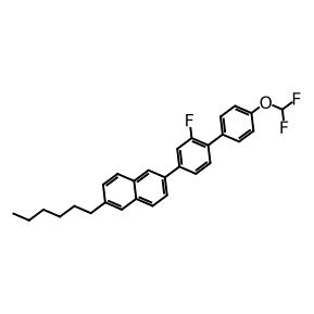 CCCCCCc1ccc2cc(-c3ccc(-c4ccc(OC(F)F)cc4)c(F)c3)ccc2c1